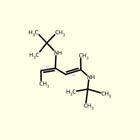 C/C=C(\C=C(/C)NC(C)(C)C)NC(C)(C)C